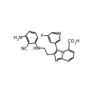 N#Cc1c(N)cccc1NCCc1nc2cccc(C(=O)O)n2c1-c1cncc(F)c1